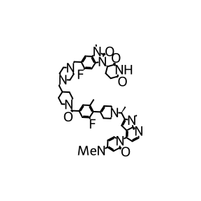 CNc1ccn(-c2ccnc3c2cc([C@H](C)N2CC=C(c4c(C)cc(C(=O)N5CCC(CN6CCN(Cc7cc8c(cc7F)n([C@H]7CCC(=O)NC7=O)c(=O)n8C)CC6)CC5)cc4F)CC2)n3C)c(=O)c1